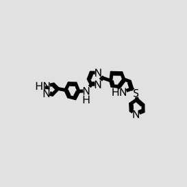 c1cc(Sc2cc3ccc(-c4nccc(Nc5ccc(-c6cn[nH]c6)cc5)n4)cc3[nH]2)ccn1